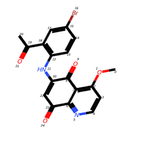 COc1ccnc2c1C(=O)C(Nc1ccc(Br)cc1C(C)=O)=CC2=O